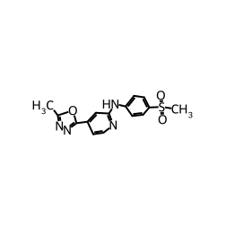 Cc1nnc(-c2ccnc(Nc3ccc(S(C)(=O)=O)cc3)c2)o1